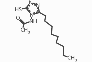 CCCCCCCCCc1nnc(S)n1NC(C)=O